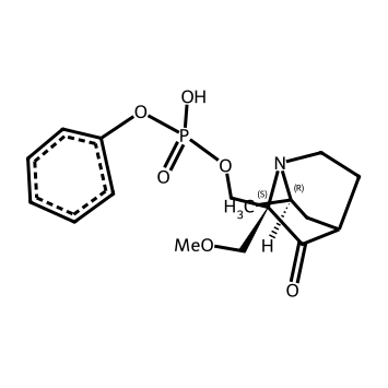 COC[C@]1(COP(=O)(O)Oc2ccccc2)C(=O)C2CCN1[C@H](C)C2